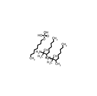 CCCCCCC(C)C(C)(C)N.CCCCCCC(C)C(C)(C)N.CCCCCCCCOP(=O)(O)O